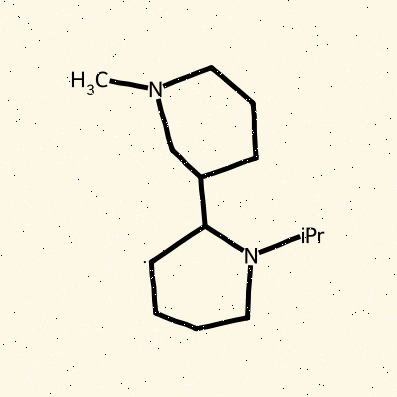 CC(C)N1CCC[CH]C1C1CCCN(C)C1